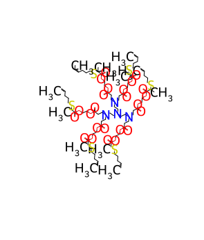 C/C=C\CCCSC(C)C(=O)OCCOC(=O)CCN(CCC(=O)OCCOC(=O)C(C)SCCC/C=C\C)CCN(CCN(CCC(=O)OCCOC(=O)C(C)SCCC/C=C\C)CCC(=O)OCCOC(=O)C(C)SCCC/C=C\C)CCN(CCC(=O)OCCOC(=O)C(C)SCCC/C=C\C)CCC(=O)OCCOC(=O)C(C)SCCC/C=C\C